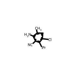 Cc1[c]c(Cl)c(C(C)C)c(C#N)c1N